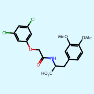 COc1ccc(C[C@H](NC(=O)COc2cc(Cl)cc(Cl)c2)C(=O)O)cc1OC